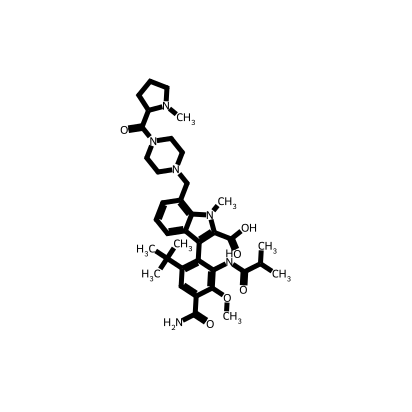 COc1c(C(N)=O)cc(C(C)(C)C)c(-c2c(C(=O)O)n(C)c3c(CN4CCN(C(=O)C5CCCN5C)CC4)cccc23)c1NC(=O)C(C)C